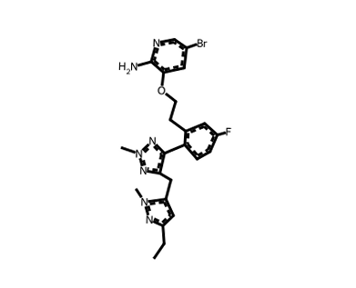 CCc1cc(Cc2nn(C)nc2-c2ccc(F)cc2CCOc2cc(Br)cnc2N)n(C)n1